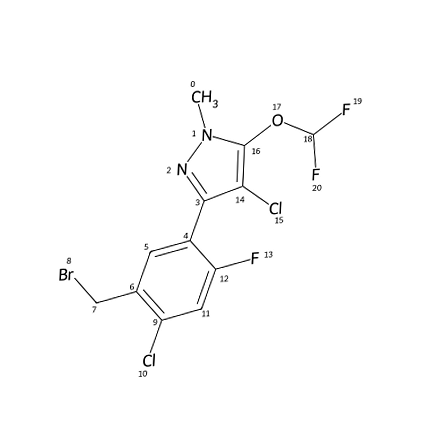 Cn1nc(-c2cc(CBr)c(Cl)cc2F)c(Cl)c1OC(F)F